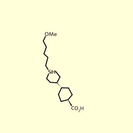 COCCCCC[SiH]1CCC([C@H]2CC[C@H](C(=O)O)CC2)CC1